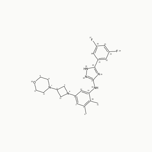 Cc1cc(N2CC(N3CCOCC3)C2)cc(Nc2n[nH]c(-c3cc(F)cc(F)c3)n2)c1C